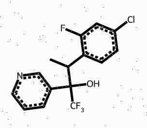 CC(c1ccc(Cl)cc1F)C(O)(c1cccnc1)C(F)(F)F